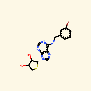 OC1CS[C@@H](n2cnc3c(NCc4cccc(Br)c4)ncnc32)C1O